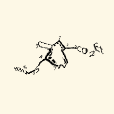 CCOC(=O)c1coc(SC(C)(C)C)n1